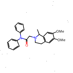 COc1cc2c(cc1OC)C(C)N(CC(=O)N(c1ccccc1)c1ccccc1)CC2